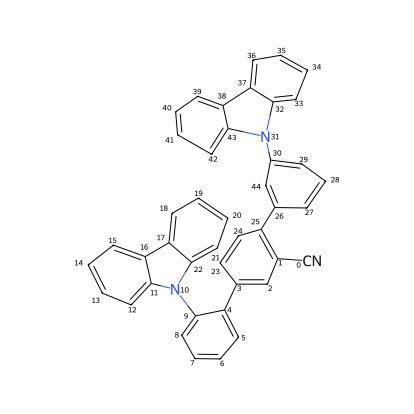 N#Cc1cc(-c2ccccc2-n2c3ccccc3c3ccccc32)ccc1-c1cccc(-n2c3ccccc3c3ccccc32)c1